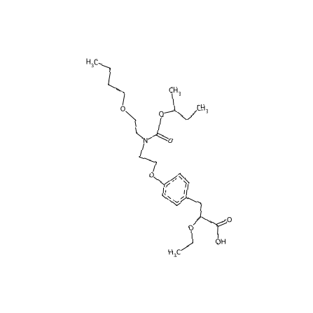 CCCCOCCN(CCOc1ccc(CC(OCC)C(=O)O)cc1)C(=O)OC(C)CC